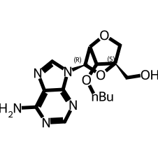 CCCCOC1C2OC[C@]1(CO)O[C@H]2n1cnc2c(N)ncnc21